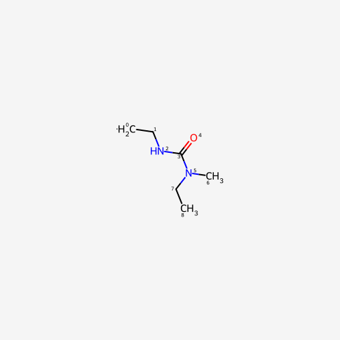 [CH2]CNC(=O)N(C)CC